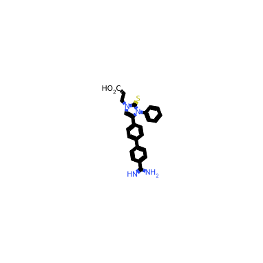 N=C(N)c1ccc(-c2ccc(-c3cn(CCC(=O)O)c(=S)n3-c3ccccc3)cc2)cc1